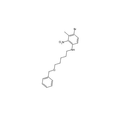 Cc1c(Br)ccc(NCCCCCOCc2ccccc2)c1[N+](=O)[O-]